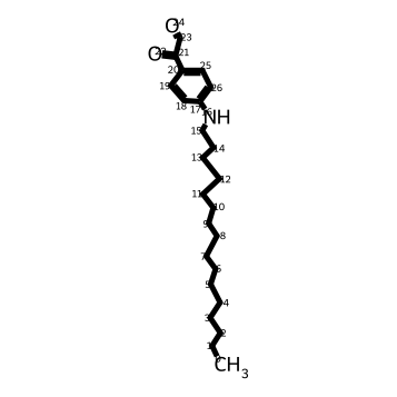 CCCCCCCCCCCCCCCCNc1ccc(C(=O)C=O)cc1